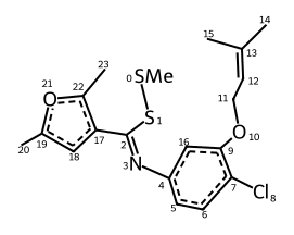 CSSC(=Nc1ccc(Cl)c(OCC=C(C)C)c1)c1cc(C)oc1C